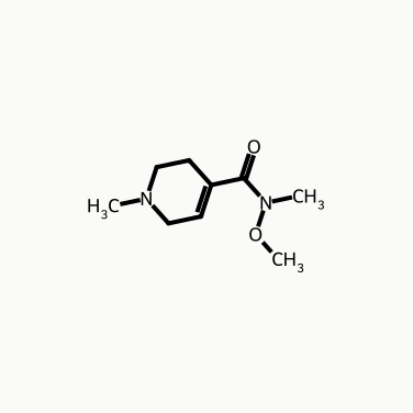 CON(C)C(=O)C1=CCN(C)CC1